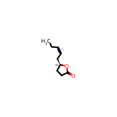 CC/C=C\C[C@@H]1CCC(=O)O1